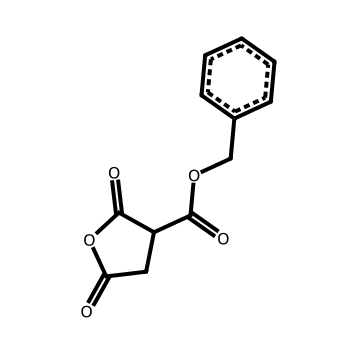 O=C1CC(C(=O)OCc2ccccc2)C(=O)O1